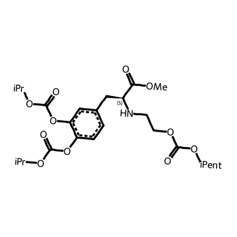 CCCC(C)OC(=O)OCCN[C@@H](Cc1ccc(OC(=O)OC(C)C)c(OC(=O)OC(C)C)c1)C(=O)OC